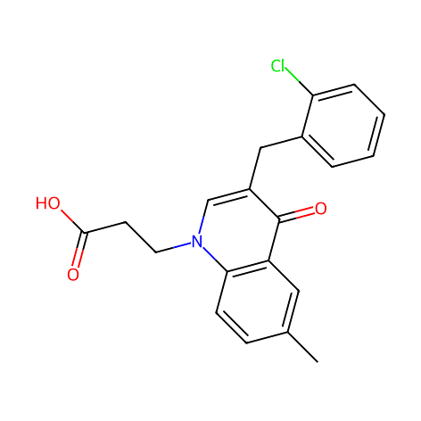 Cc1ccc2c(c1)c(=O)c(Cc1ccccc1Cl)cn2CCC(=O)O